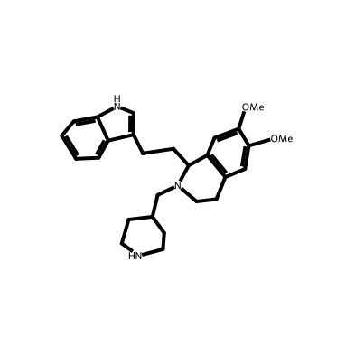 COc1cc2c(cc1OC)C(CCc1c[nH]c3ccccc13)N(CC1CCNCC1)CC2